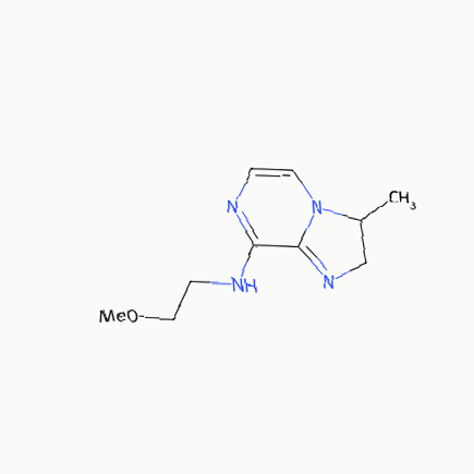 COCCNC1=NC=CN2C1=NCC2C